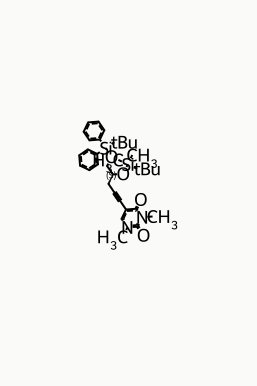 Cn1cc(C#CC[C@@H](CO[Si](c2ccccc2)(c2ccccc2)C(C)(C)C)O[Si](C)(C)C(C)(C)C)c(=O)n(C)c1=O